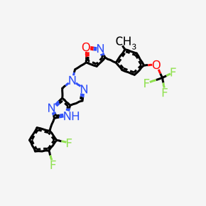 Cc1cc(OC(F)(F)F)ccc1-c1cc(CN2Cc3nc(-c4cccc(F)c4F)[nH]c3C=N2)on1